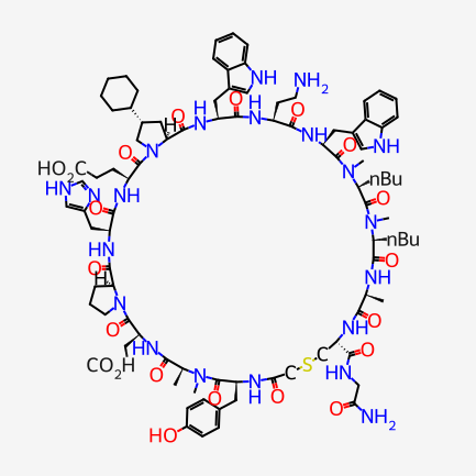 CCCC[C@H]1C(=O)N(C)[C@@H](CCCC)C(=O)N[C@@H](C)C(=O)N[C@H](C(=O)NCC(N)=O)CSCC(=O)N[C@@H](Cc2ccc(O)cc2)C(=O)N(C)[C@@H](C)C(=O)N[C@@H](CC(=O)O)C(=O)N2CCC[C@H]2C(=O)N[C@@H](Cc2c[nH]cn2)C(=O)N[C@@H](CCC(=O)O)C(=O)N2C[C@H](C3CCCCC3)C[C@H]2C(=O)N[C@@H](Cc2c[nH]c3ccccc23)C(=O)N[C@@H](CCN)C(=O)N[C@@H](Cc2c[nH]c3ccccc23)C(=O)N1C